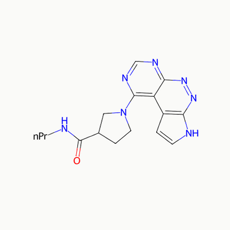 CCCNC(=O)C1CCN(c2ncnc3nnc4[nH]ccc4c23)C1